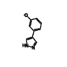 [O]c1cccc(-c2cn[nH]c2)c1